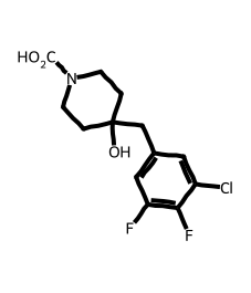 O=C(O)N1CCC(O)(Cc2cc(F)c(F)c(Cl)c2)CC1